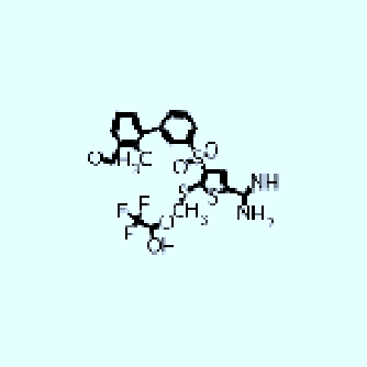 CSc1sc(C(=N)N)cc1S(=O)(=O)c1cccc(-c2cccc(C=O)c2C)c1.O=C(O)C(F)(F)F